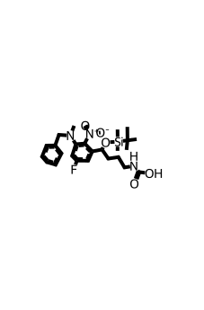 CN(Cc1ccccc1)c1cc(F)cc(C(CCCNC(=O)O)O[Si](C)(C)C(C)(C)C)c1[N+](=O)[O-]